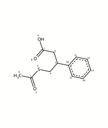 CC(=O)SCC(CC(=O)O)c1ccccc1